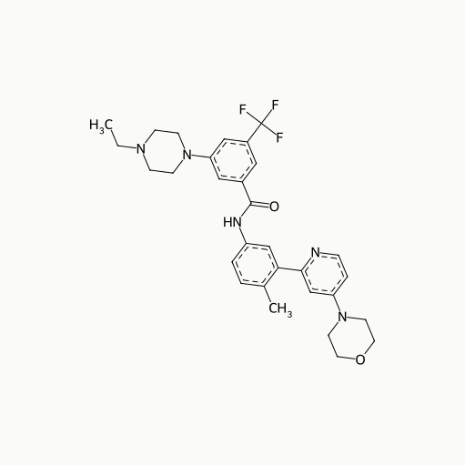 CCN1CCN(c2cc(C(=O)Nc3ccc(C)c(-c4cc(N5CCOCC5)ccn4)c3)cc(C(F)(F)F)c2)CC1